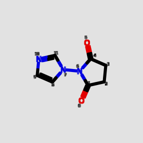 O=C1CCC(=O)N1n1ccnc1